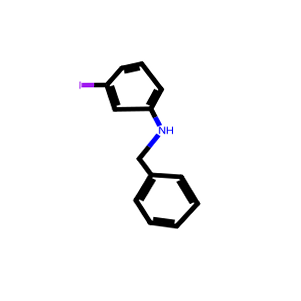 Ic1cccc(NCc2ccccc2)c1